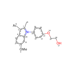 COc1ccc2c(C(C)=O)c(C)n(-c3ccc(OCCO)cc3)c2c1